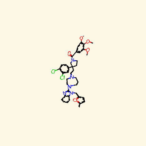 COc1cc(C(=O)N2CCC(CCN3CCCN(c4nc5ccccc5n4Cc4ccc(C)o4)CC3)(c3ccc(Cl)c(Cl)c3)C2)cc(OC)c1OC